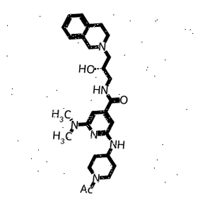 CC(=O)N1CCC(Nc2cc(C(=O)NC[C@H](O)CN3CCc4ccccc4C3)cc(N(C)C)n2)CC1